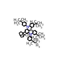 CCC(C)(C)c1cccc(N2c3cc(C(C)(C)C)ccc3B3c4cc(C(C)(C)C)ccc4N(c4ccc(C(C)(C)C)cc4)c4cc(C56CCC(CC=C5C)C6)cc2c43)c1